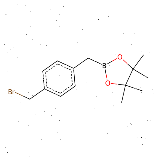 CC1(C)OB(Cc2ccc(CBr)cc2)OC1(C)C